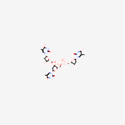 Cc1cn([C@H]2C[C@H](O)[C@@H](COP(=O)(O)OC[C@H]3O[C@@H](n4cc(C)c(=O)[nH]c4=O)C[C@@]3(O)P(=O)(O)OC[C@H]3O[C@@H](n4cc(C)c(=O)[nH]c4=O)C[C@@H]3O)O2)c(=O)[nH]c1=O